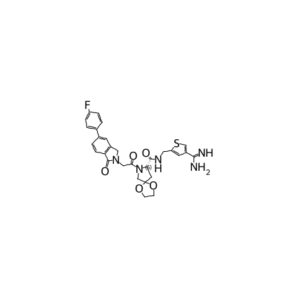 N=C(N)c1csc(CNC(=O)[C@@H]2CC3(CN2C(=O)CN2Cc4cc(-c5ccc(F)cc5)ccc4C2=O)OCCO3)c1